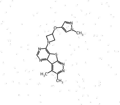 Cc1nnc2sc3c(N4CC(Oc5cnn(C)c5)C4)ncnc3c2c1C